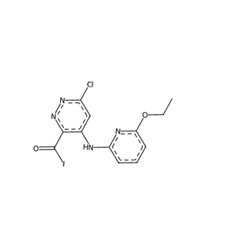 CCOc1cccc(Nc2cc(Cl)nnc2C(=O)I)n1